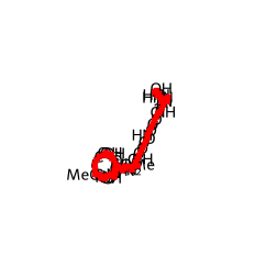 CO[C@H]1C[C@@H]2CC[C@@H](C)[C@@](O)(O2)C(=O)C(=O)N2CCCC[C@H]2C(=O)O[C@H]([C@H](N)C[C@@H]2CC[C@H](n3cc(-c4cccc(C(=O)NCCOCCOCCOCCC(=O)NCCOCCOCCOCCC(=O)NCCCCn5nc(-c6cc7cc(O)ccc7[nH]6)c6c(N)ncnc65)c4)nn3)[C@H](OC)C2)CC(=O)[C@H](C)/C=C(\C)[C@@H](O)[C@@H](O)C(=O)[C@H](C)C[C@H](C)/C=C/C=C/C=C/1C